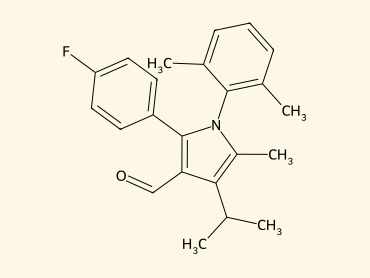 Cc1cccc(C)c1-n1c(C)c(C(C)C)c(C=O)c1-c1ccc(F)cc1